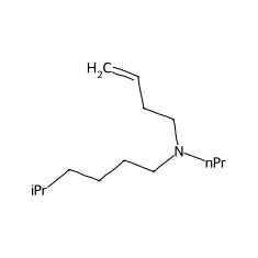 C=CCCN(CCC)CCCCC(C)C